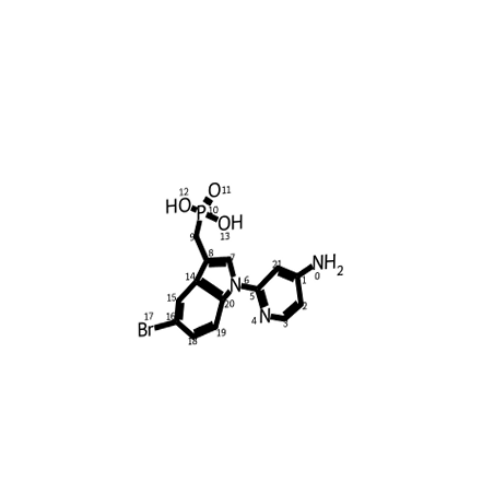 Nc1ccnc(-n2cc(CP(=O)(O)O)c3cc(Br)ccc32)c1